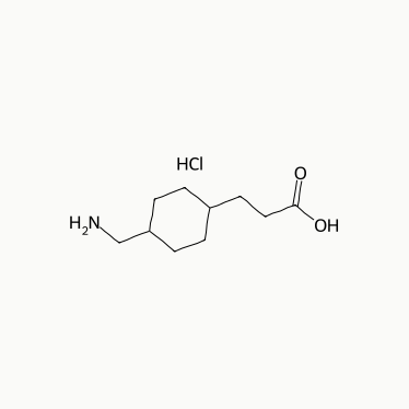 Cl.NCC1CCC(CCC(=O)O)CC1